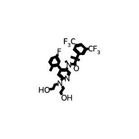 Cc1ccc(F)cc1-c1cc(N(CCO)CCO)ncc1N(C)C(=O)C(C)(C)c1cc(C(F)(F)F)cc(C(F)(F)F)c1